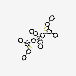 c1ccc(-c2ccc3sc4c(-c5ccc([Si](c6ccc(-c7cc(-c8ccccc8)cc8c7sc7ccc(-c9ccccc9)cc78)cc6)(c6ccc7ccccc7c6)c6ccc7ccccc7c6)cc5)cc(-c5ccccc5)cc4c3c2)cc1